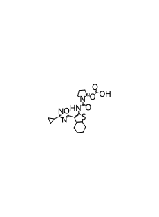 O=C(O)O[C@H]1CCCN1C(=O)Nc1sc2c(c1-c1nc(C3CC3)no1)CCCC2